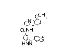 COc1cccc(F)c1CN1CCC[C@@H](NC(=O)c2ccc3[nH]nc(-c4ccc5sccc5c4)c3c2)C1